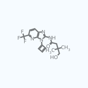 CC(C)(CO)CC(=O)Nc1nc2ccc(C(F)(F)F)nc2n1C1=CC=C1